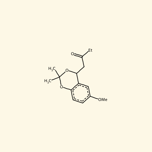 CCC(=O)CC1OC(C)(C)Oc2ccc(OC)cc21